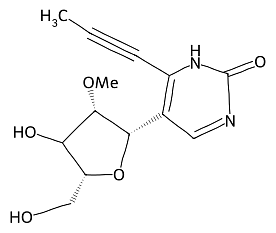 CC#Cc1[nH]c(=O)ncc1[C@@H]1O[C@H](CO)C(O)[C@@H]1OC